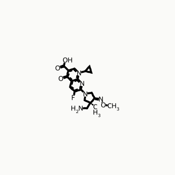 CON=C1CN(c2nc3c(cc2F)c(=O)c(C(=O)O)cn3C2CC2)C[C@@]1(C)CN